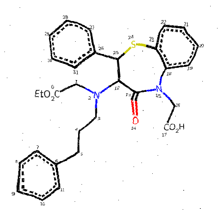 CCOC(=O)CN(CCCc1ccccc1)C1C(=O)N(CC(=O)O)c2ccccc2SC1c1ccccc1